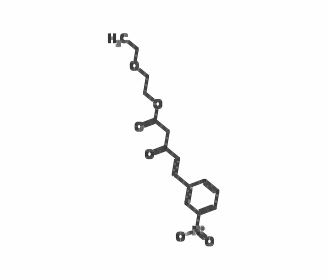 CCOCCOC(=O)CC(=O)C=Cc1cccc([N+](=O)[O-])c1